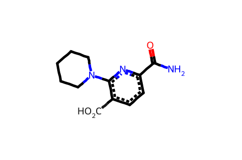 NC(=O)c1ccc(C(=O)O)c(N2CCCCC2)n1